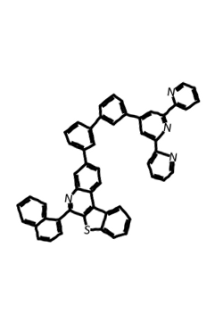 c1ccc(-c2cc(-c3cccc(-c4cccc(-c5ccc6c(c5)nc(-c5cccc7ccccc57)c5sc7ccccc7c56)c4)c3)cc(-c3ccccn3)n2)nc1